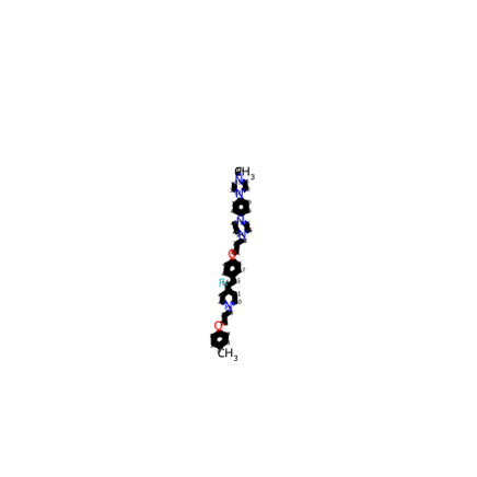 Cc1ccc(OCCCN2CCC(C(F)Cc3ccc(OCCCN4CCN(c5ccc(N6CCN(C)CC6)cc5)CC4)cc3)CC2)cc1